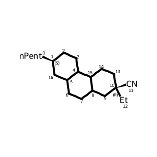 CCCCC[C@H]1CCC2C(CCC3C[C@@](C#N)(CC)CCC32)C1